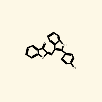 O=C1C(=Cc2c(-c3ccc(Cl)cc3)[nH]c3ccccc23)Oc2ccccc21